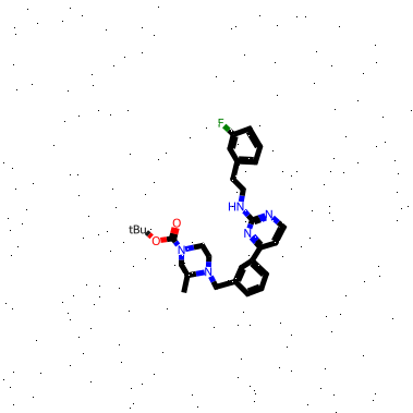 CC1CN(C(=O)OC(C)(C)C)CCN1Cc1cccc(-c2ccnc(NCCc3cccc(F)c3)n2)c1